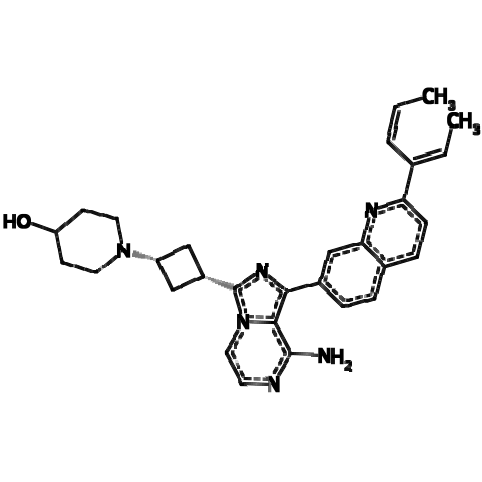 C/C=C\C(=C/C)c1ccc2ccc(-c3nc([C@H]4C[C@@H](N5CCC(O)CC5)C4)n4ccnc(N)c34)cc2n1